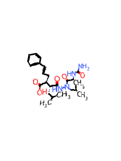 CC(C)C[C@@H](C(=O)NN(CC(C)C)C(=O)CNC(N)=O)[C@H](CC=Cc1ccccc1)C(=O)O